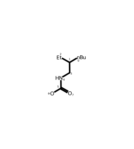 CCCCC(CC)CNC([O])=O